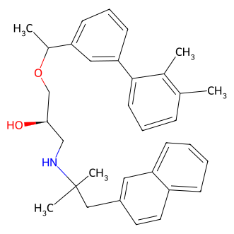 Cc1cccc(-c2cccc(C(C)OC[C@H](O)CNC(C)(C)Cc3ccc4ccccc4c3)c2)c1C